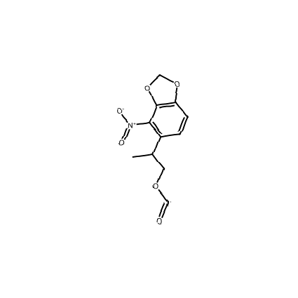 CC(CO[C]=O)c1ccc2c(c1[N+](=O)[O-])OCO2